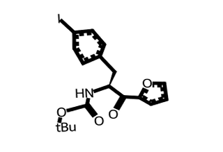 CC(C)(C)OC(=O)N[C@@H](Cc1ccc(I)cc1)C(=O)c1ccco1